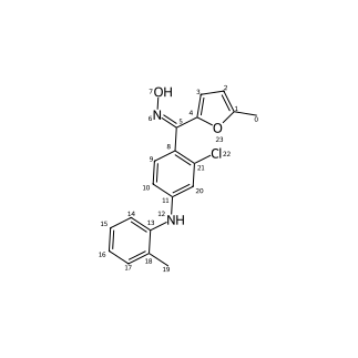 Cc1ccc(C(=NO)c2ccc(Nc3ccccc3C)cc2Cl)o1